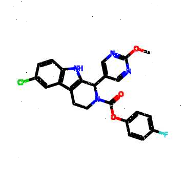 COc1ncc(C2c3[nH]c4ccc(Cl)cc4c3CCN2C(=O)Oc2ccc(F)cc2)cn1